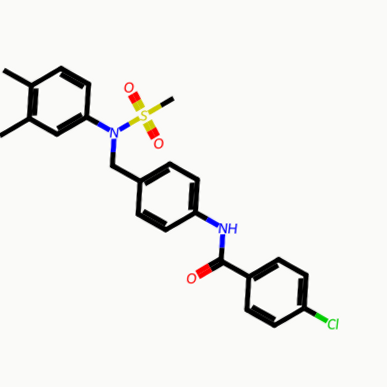 Cc1ccc(N(Cc2ccc(NC(=O)c3ccc(Cl)cc3)cc2)S(C)(=O)=O)cc1C